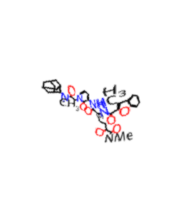 CNC(=O)C(=O)CC[C@H](NC(=O)c1oc2ccccc2c1C)C(=O)Nc1cccn(CC(=O)N(C)C2C3CC4CC(C3)CC2C4)c1=O